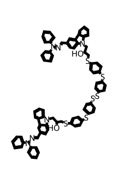 OC(CSc1ccc(Sc2ccc(SSc3ccc(Sc4ccc(SCC(O)Cn5c6ccccc6c6cc(/C=N/N(c7ccccc7)c7ccccc7)ccc65)cc4)cc3)cc2)cc1)Cn1c2ccccc2c2cc(/C=N/N(c3ccccc3)c3ccccc3)ccc21